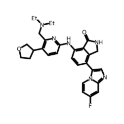 CCN(CC)Cc1nc(Nc2ccc(-c3cnc4cc(F)ccn34)c3c2C(=O)NC3)ccc1C1CCOC1